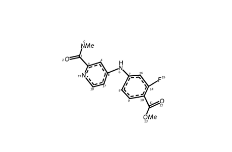 CNC(=O)c1cc(Nc2ccc(C(=O)OC)c(F)c2)ccn1